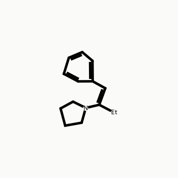 CCC(=Cc1ccccc1)N1CCCC1